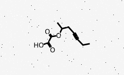 CCC#CCC(C)OC(=O)C(=O)O